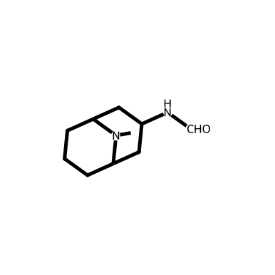 CN1C2CCCC1CC(NC=O)C2